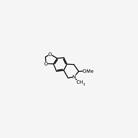 COC1Cc2cc3c(cc2CN1C)OCO3